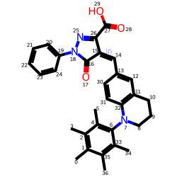 Cc1c(C)c(C)c(N2CCCc3cc(/C=C4\C(=O)N(c5ccccc5)N=C4C(=O)O)ccc32)c(C)c1C